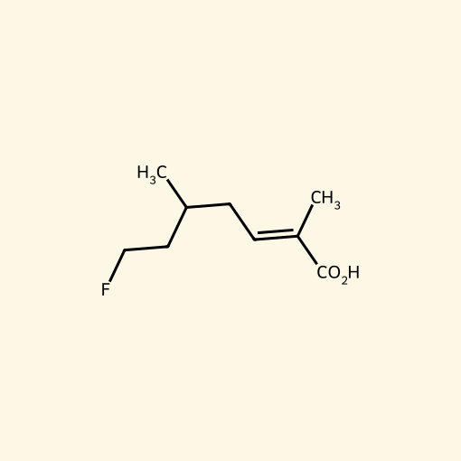 CC(=CCC(C)CCF)C(=O)O